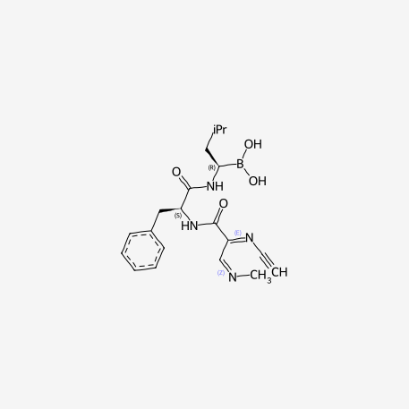 C#C/N=C(\C=N/C)C(=O)N[C@@H](Cc1ccccc1)C(=O)N[C@@H](CC(C)C)B(O)O